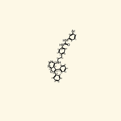 CC(=O)c1cccc(NC(=O)Nc2ccc(CCNc3ncnc4oc(-c5ccccc5)c(-c5ccccc5)c34)cc2)c1